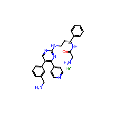 Cl.NCC(=O)N[C@@H](CCNc1ncc(-c2cccc(CN)c2)c(-c2ccncc2)n1)c1ccccc1